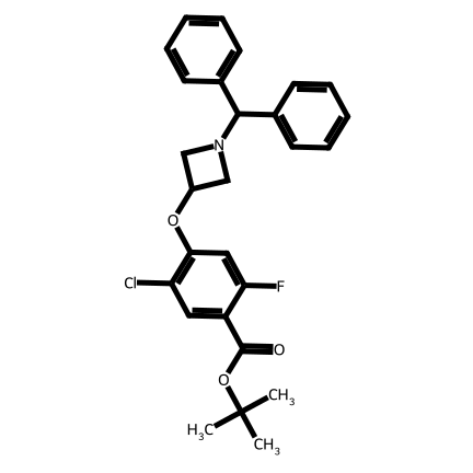 CC(C)(C)OC(=O)c1cc(Cl)c(OC2CN(C(c3ccccc3)c3ccccc3)C2)cc1F